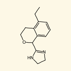 CCc1cccc2c1CCOC2C1=NCCN1